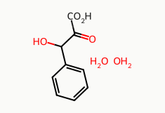 O.O.O=C(O)C(=O)C(O)c1ccccc1